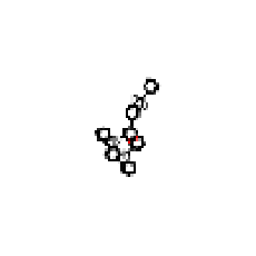 c1ccc(-c2nc3ccc(-c4cccc(-n5c6ccccc6c6ccc7c8ccccc8n(-c8ccccc8)c7c65)c4)cc3o2)cc1